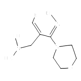 CC/C=C(CN(C)C)\C(=N/CC)N1CCOCC1